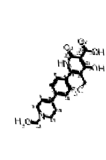 CCc1c(-c2ccc(C3=CCN(CC)CC3)cc2)[nH]c(=O)c(C(=O)O)c1O